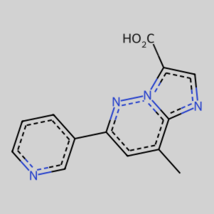 Cc1cc(-c2cccnc2)nn2c(C(=O)O)cnc12